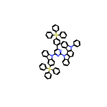 c1ccc(-n2c3ccccc3c3c2ccc2c4ccccc4n(-c4nc(-c5ccc(S(c6ccccc6)(c6ccccc6)c6ccccc6)cc5)cc(-n5c6ccccc6c6cc(S(c7ccccc7)(c7ccccc7)c7ccccc7)ccc65)n4)c23)cc1